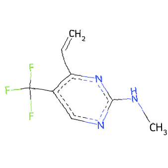 C=Cc1nc(NC)ncc1C(F)(F)F